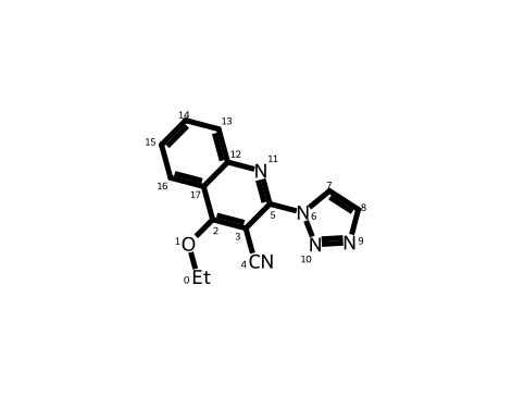 CCOc1c(C#N)c(-n2ccnn2)nc2ccccc12